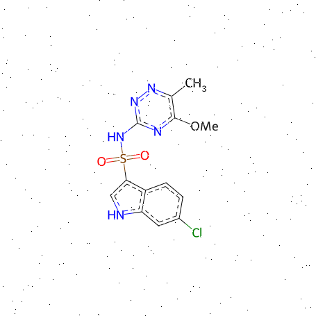 COc1nc(NS(=O)(=O)c2c[nH]c3cc(Cl)ccc23)nnc1C